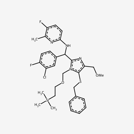 COCc1nc(C(Nc2ccc(F)c(C)n2)c2ccc(F)c(Cl)c2)n(COCC[Si](C)(C)C)c1SCc1ccccc1